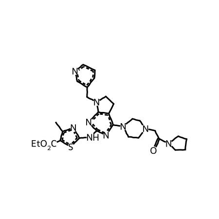 CCOC(=O)c1sc(Nc2nc(N3CCN(CC(=O)N4CCCC4)CC3)c3c(n2)N(Cc2cccnc2)CC3)nc1C